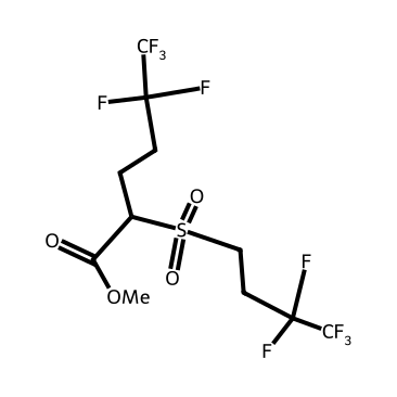 COC(=O)C(CCC(F)(F)C(F)(F)F)S(=O)(=O)CCC(F)(F)C(F)(F)F